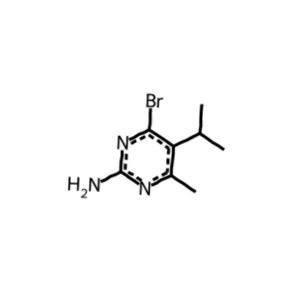 Cc1nc(N)nc(Br)c1C(C)C